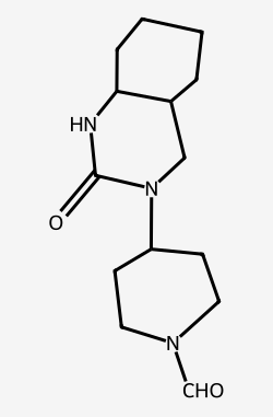 O=CN1CCC(N2CC3CCCCC3NC2=O)CC1